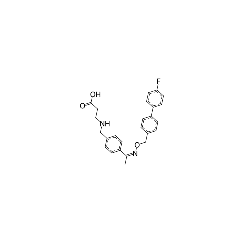 CC(=NOCc1ccc(-c2ccc(F)cc2)cc1)c1ccc(CNCCC(=O)O)cc1